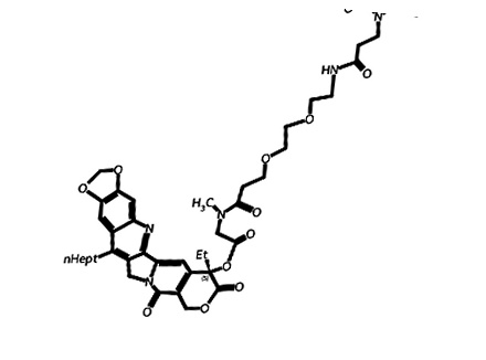 CCCCCCCc1c2c(nc3cc4c(cc13)OCO4)-c1cc3c(c(=O)n1C2)COC(=O)[C@@]3(CC)OC(=O)CN(C)C(=O)CCOCCOCCNC(=O)CCN1C(=O)C=CC1=O